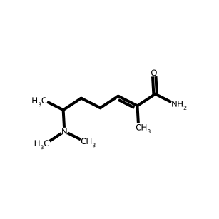 C/C(=C\CCC(C)N(C)C)C(N)=O